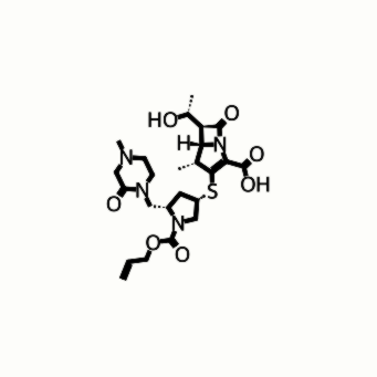 C=CCOC(=O)N1C[C@@H](SC2=C(C(=O)O)N3C(=O)[C@H]([C@@H](C)O)[C@H]3[C@H]2C)C[C@H]1CN1CCN(C)CC1=O